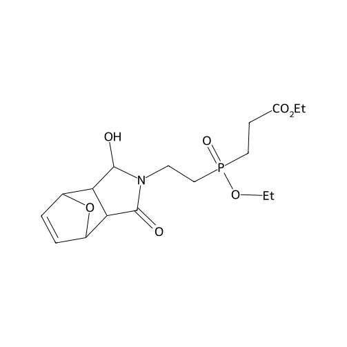 CCOC(=O)CCP(=O)(CCN1C(=O)C2C3C=CC(O3)C2C1O)OCC